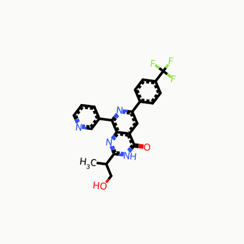 CC(CO)c1nc2c(-c3cccnc3)nc(-c3ccc(C(F)(F)F)cc3)cc2c(=O)[nH]1